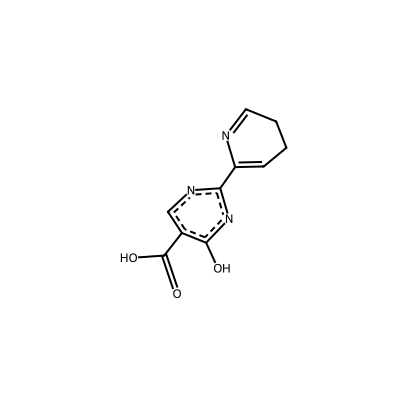 O=C(O)c1cnc(C2=CCCC=N2)nc1O